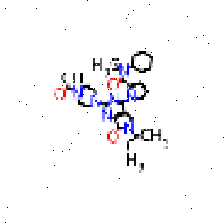 CC(=O)N1CCN(c2nc3c(c(N4CCC[C@@H]4C(=O)N(C)C4CCCCC4)n2)CN(C(C)C)C3=O)CC1